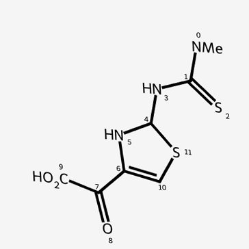 CNC(=S)NC1NC(C(=O)C(=O)O)=CS1